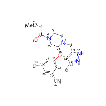 COCC(=O)N1CCN(Cc2[nH]nc(C)c2Oc2cc(Cl)cc(C#N)c2)CC1